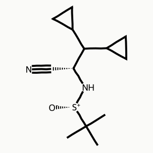 CC(C)(C)[S@+]([O-])N[C@H](C#N)C(C1CC1)C1CC1